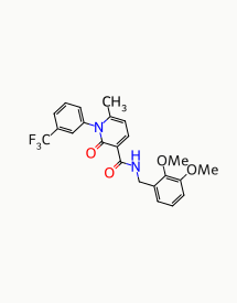 COc1cccc(CNC(=O)c2ccc(C)n(-c3cccc(C(F)(F)F)c3)c2=O)c1OC